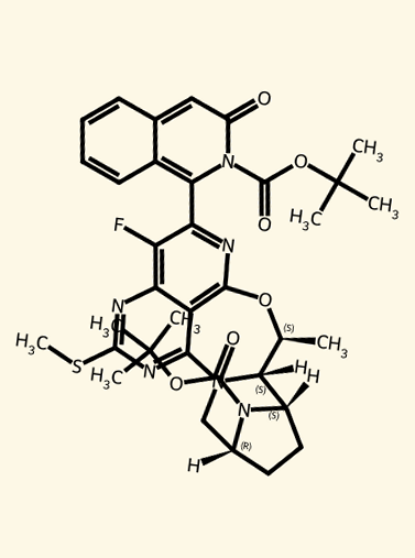 CSc1nc2c3c(nc(-c4c5ccccc5cc(=O)n4C(=O)OC(C)(C)C)c(F)c3n1)O[C@@H](C)[C@@H]1[C@@H]3CC[C@H](CN21)N3C(=O)OC(C)(C)C